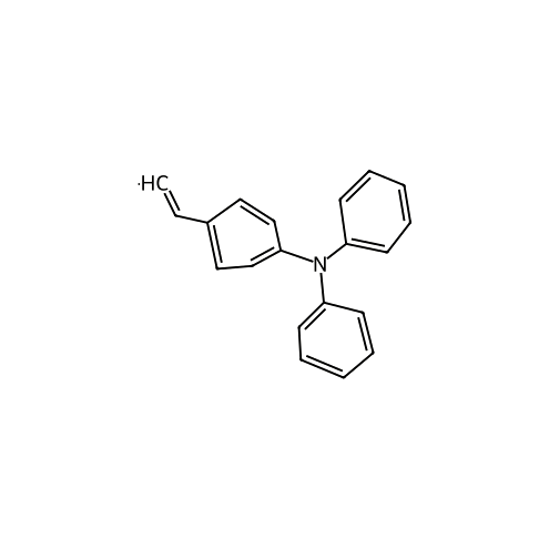 [CH]=Cc1ccc(N(c2ccccc2)c2ccccc2)cc1